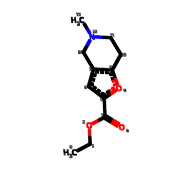 CCOC(=O)c1cc2c(o1)CCN(C)C2